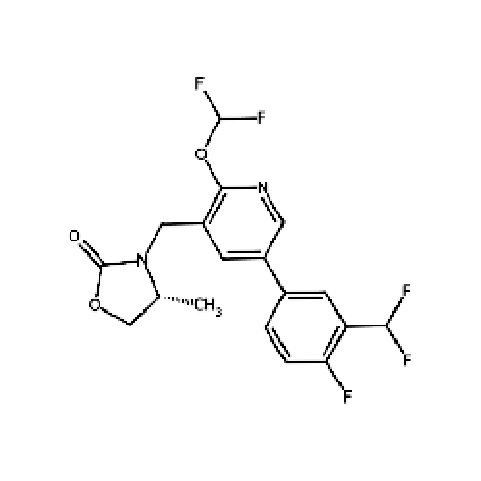 C[C@@H]1COC(=O)N1Cc1cc(-c2ccc(F)c(C(F)F)c2)cnc1OC(F)F